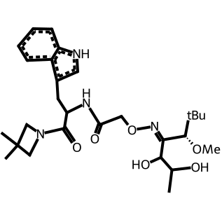 CO[C@H](/C(=N/OCC(=O)NC(Cc1c[nH]c2ccccc12)C(=O)N1CC(C)(C)C1)C(O)C(C)O)C(C)(C)C